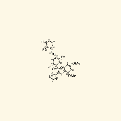 COc1ccc(CN(c2ncns2)S(=O)(=O)c2cc(F)c(OCc3cccc(Cl)c3Br)cc2F)c(OC)c1